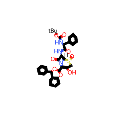 CC(C)(C)OC(=O)NC(C(=O)N[C@@H]1C(=O)N2C(C(=O)OC(c3ccccc3)c3ccccc3)=C(O)C[S+]([O-])[C@H]12)c1ccccc1